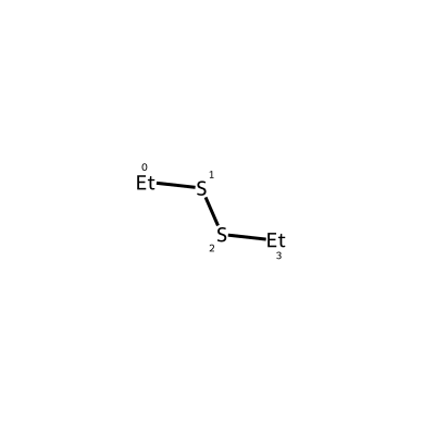 [CH2]CSSC[CH2]